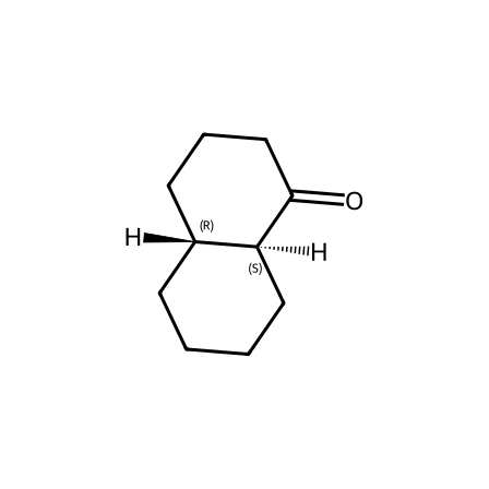 O=C1CCC[C@H]2CCCC[C@H]12